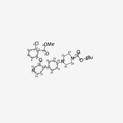 COC(=O)c1c(Cl)cccc1Oc1cnccc1-c1ccc(N2CCN(C(=O)OC(C)(C)C)CC2)cc1